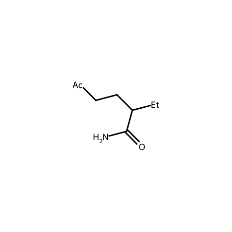 CCC(CCC(C)=O)C(N)=O